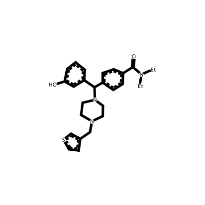 CCN(CC)C(=O)c1ccc(C(c2cccc(O)c2)N2CCN(Cc3ccsc3)CC2)cc1